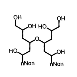 CCCCCCCCCC(O)CC(CC(O)CO)OC(CC(O)CO)CC(O)CCCCCCCCC